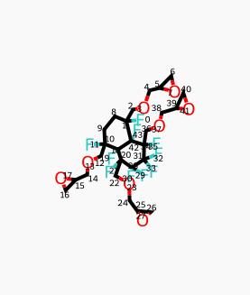 FC1(COCC2CO2)CCC(F)(COCC2CO2)C2(F)C(F)(COCC3CO3)C(F)(F)C(F)(F)C(F)(COCC3CO3)C12F